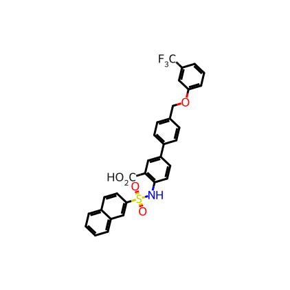 O=C(O)c1cc(-c2ccc(COc3cccc(C(F)(F)F)c3)cc2)ccc1NS(=O)(=O)c1ccc2ccccc2c1